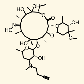 C#CCCN(C)[C@H]1C[C@@H](C)OC(O[C@@H]2[C@@H](C)C(O[C@H]3C[C@@](C)(OC)[C@@H](O)[C@H](C)O3)[C@@H](C)C(=O)O[C@H](CC)[C@@](C)(O)[C@H](O)[C@@H](C)/C(=N/O)[C@H](C)C[C@@]2(C)O)[C@@H]1O